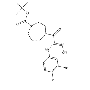 CC(C)(C)OC(=O)N1CCCC(C(=O)/C(=N/O)Nc2ccc(F)c(Br)c2)CC1